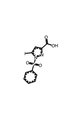 O=C(O)c1cc(I)n(S(=O)(=O)c2ccccc2)n1